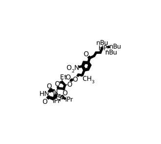 CCCC[PH](CCCC)(CCCC)CCCCC(=O)c1ccc(C(C)COC(=O)O[C@@H]2C(O[Si](C(C)C)(C(C)C)C(C)C)[C@H](n3ccc(=O)[nH]c3=O)O[C@@H]2CC)c([N+](=O)[O-])c1